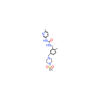 CCS(=O)(=O)N1CCN(Cc2ccc(C)c(CNC(=O)Nc3ccc(C)nc3)c2)CC1